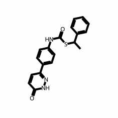 CC(SC(=O)Nc1ccc(-c2ccc(=O)[nH]n2)cc1)c1ccccc1